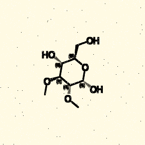 CO[C@@H]1[C@@H](OC)[C@H](O)[C@@H](CO)O[C@@H]1O